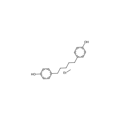 CCC.Oc1ccc(CCCCCc2ccc(O)cc2)cc1